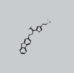 CC(C)=C(CCc1ccc2c(c1)Cc1ccccc1-2)C1=CC(CCN(C)C)=CC1